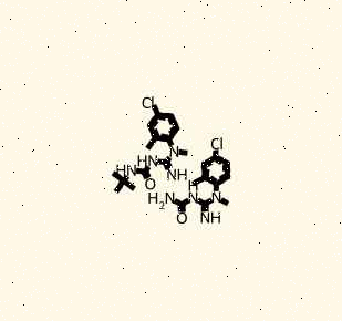 Cc1cc(Cl)ccc1N(C)C(=N)NC(=O)NC(C)(C)C.Cc1cc(Cl)ccc1N(C)C(=N)NC(N)=O